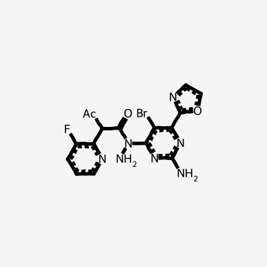 CC(=O)C(C(=O)N(N)c1nc(N)nc(-c2ncco2)c1Br)c1ncccc1F